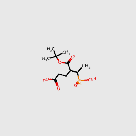 CC(C(CCC(=O)O)C(=O)OC(C)(C)C)[PH](=O)O